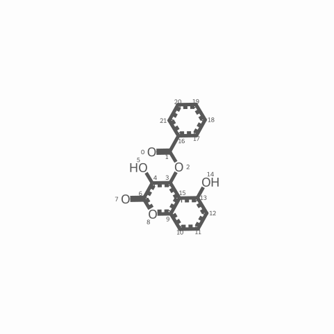 O=C(Oc1c(O)c(=O)oc2cccc(O)c12)c1ccccc1